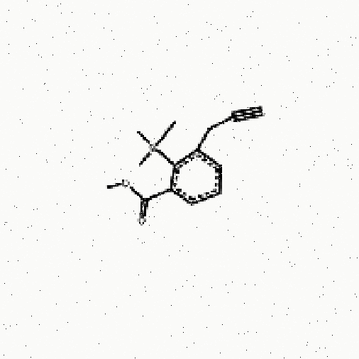 C#CCc1cccc(C(=O)OC)c1[Si](C)(C)C